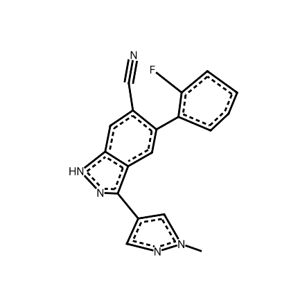 Cn1cc(-c2n[nH]c3cc(C#N)c(-c4ccccc4F)cc23)cn1